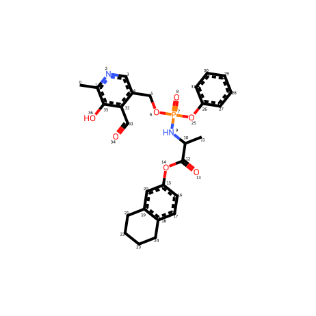 Cc1ncc(COP(=O)(NC(C)C(=O)Oc2ccc3c(c2)CCCC3)Oc2ccccc2)c(C=O)c1O